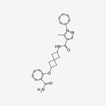 Cc1c(C(=O)NC2CC3(C2)CC(Oc2ccccc2C(N)=O)C3)cnn1-c1ccccc1